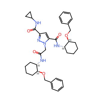 O=C(Cn1nc(C(=O)NC2CC2)cc1C(=O)N[C@H]1CCCC[C@@H]1OCc1ccccc1)N[C@H]1CCCC[C@@H]1OCc1ccccc1